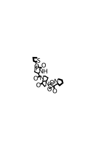 CC(C)CC(NC(=O)Oc1cccs1)C(=O)N1CCC2C1C(=O)CN2S(=O)(=O)C(=O)c1ccccn1